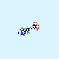 COc1cc(CCc2ccc(C3=NCC(=O)Nc4sccc43)c(Cl)c2)cc(OC)c1OC